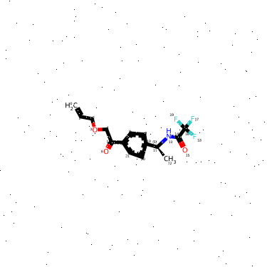 C=CCOCC(=O)c1ccc([C@H](C)NC(=O)C(F)(F)F)cc1